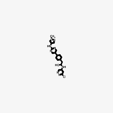 Cn1cc(Nc2ncc(-c3ccc(CC(O)Nc4cnnc(Cl)c4)cc3)cn2)cn1